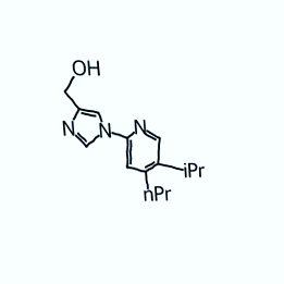 CCCc1cc(-n2cnc(CO)c2)ncc1C(C)C